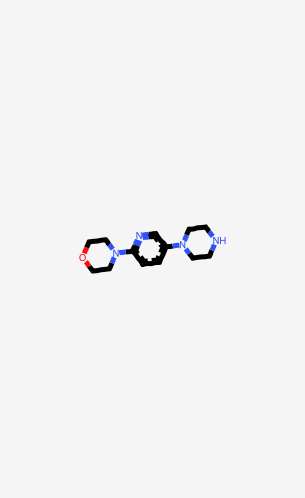 c1cc(N2CCOCC2)ncc1N1CCNCC1